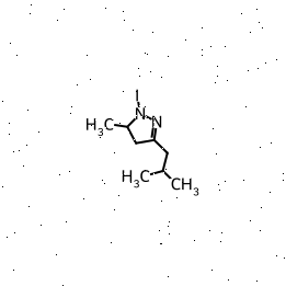 CC(C)CC1=NN(I)C(C)C1